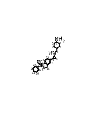 NC1CCC(CNC2CC2c2ccc3c(c2)CCN3[S+]([O-])c2ccccc2)CC1